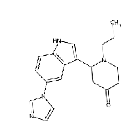 CCCN1CCC(=O)CC1c1c[nH]c2ccc(-n3ccnc3)cc12